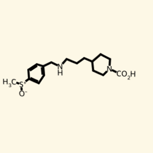 C[S+]([O-])c1ccc(CNCCCC2CCN(C(=O)O)CC2)cc1